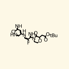 CC(C)(C)OC(=O)CC1OCCN(C(=N)/C(F)=C\N/C(C=N)=C/C(=N)Cl)C1=O